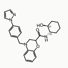 O=C(N[C@H]1CCCC[C@@H]1O)C1CN(Cc2ccc(-n3cccn3)cc2)c2ccccc2O1